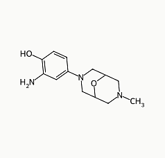 CN1CC2CN(c3ccc(O)c(N)c3)CC(C1)O2